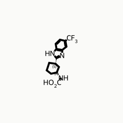 O=C(O)N[C@@H]1CCC[C@H](c2nc3cc(C(F)(F)F)ccc3[nH]2)C1